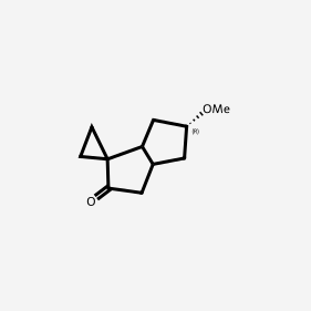 CO[C@@H]1CC2CC(=O)C3(CC3)C2C1